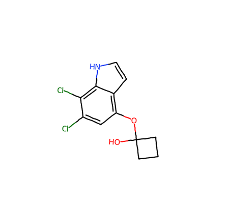 OC1(Oc2cc(Cl)c(Cl)c3[nH]ccc23)CCC1